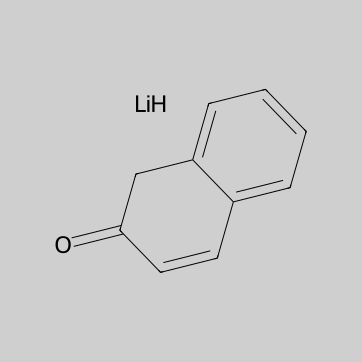 O=C1C=Cc2ccccc2C1.[LiH]